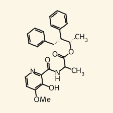 COc1ccnc(C(=O)NC(C)C(=O)O[C@@H](C)[C@H](Cc2ccccc2)c2ccccc2)c1O